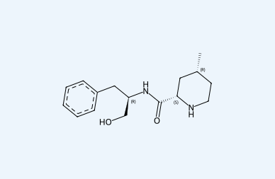 C[C@@H]1CCN[C@H](C(=O)N[C@@H](CO)Cc2ccccc2)C1